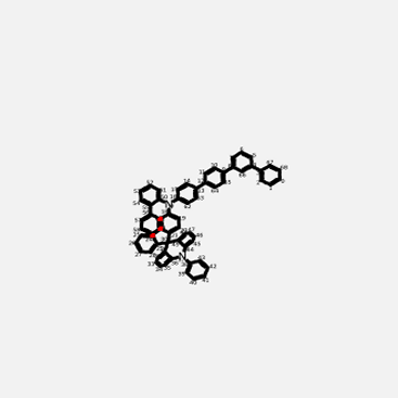 c1ccc(-c2cccc(-c3ccc(-c4ccc(N(c5ccc6c(c5)-c5ccccc5C65c6ccccc6N(c6ccccc6)c6ccccc65)c5ccccc5-c5ccccc5)cc4)cc3)c2)cc1